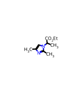 CCOC(=O)C(C)n1cc(C)nc1C